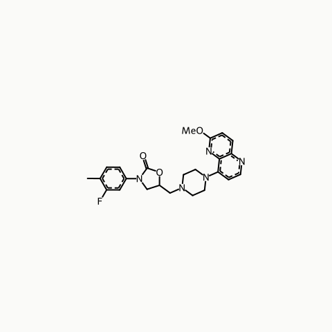 COc1ccc2nccc(N3CCN(CC4CN(c5ccc(C)c(F)c5)C(=O)O4)CC3)c2n1